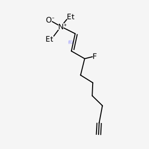 C#CCCCCC(F)/C=C/[N+]([O-])(CC)CC